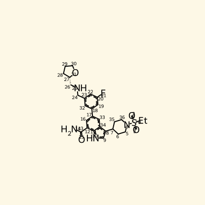 CCS(=O)(=O)N1CCC(c2c[nH]c3c(C(N)=O)cc(-c4cc(F)cc(CNC[C@@H]5CCCO5)c4)cc23)CC1